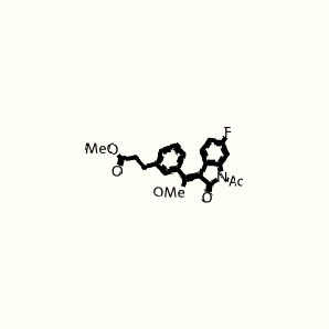 COC(=O)CCc1cccc(C(OC)=C2C(=O)N(C(C)=O)c3cc(F)ccc32)c1